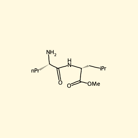 CCC[C@H](N)C(=O)N[C@H](CC(C)C)C(=O)OC